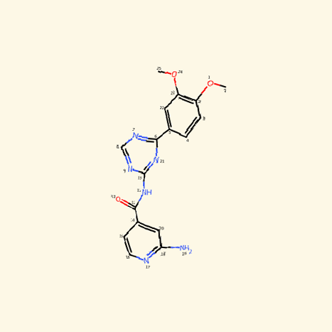 COc1ccc(-c2ncnc(NC(=O)c3ccnc(N)c3)n2)cc1OC